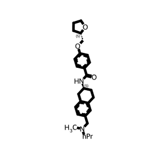 CCCN(C)Cc1ccc2c(c1)CC[C@H](NC(=O)c1ccc(OC[C@@H]3CCCO3)cc1)C2